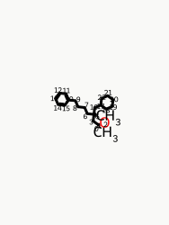 CC(=O)CC(C)(CCCCc1ccccc1)CC1CCCCC1